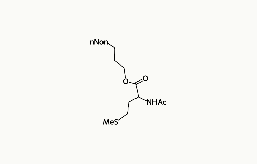 CCCCCCCCCCCCOC(=O)C(CCSC)NC(C)=O